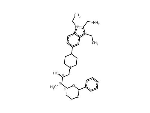 CCn1c(CN)[n+](CC)c2ccc(C3CCN(C[C@H](O)[C@@H](C)[C@H]4CCOC(c5ccccc5)O4)CC3)cc21